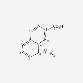 Cl.O.O=C(O)c1ccc2ccccc2n1